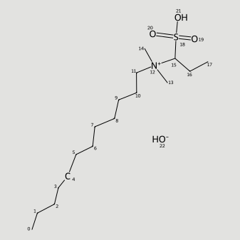 CCCCCCCCCCCC[N+](C)(C)C(CC)S(=O)(=O)O.[OH-]